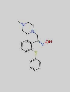 CN1CCN(C/C(=N\O)c2ccccc2Sc2ccccc2)CC1